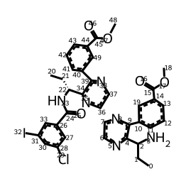 CCC(N)c1nccnc1-c1cccc(C(=O)OC)c1.CC[C@@H](NC(=O)c1cc(Cl)cc(I)c1)c1nccnc1-c1cccc(C(=O)OC)c1